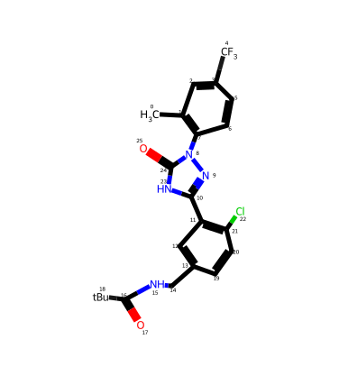 Cc1cc(C(F)(F)F)ccc1-n1nc(-c2cc(CNC(=O)C(C)(C)C)ccc2Cl)[nH]c1=O